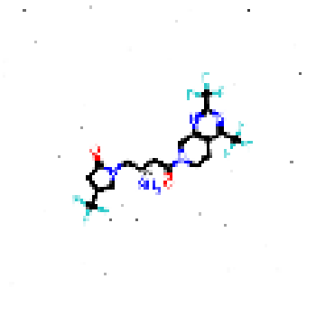 N[C@@H](CC(=O)N1CCc2c(nc(C(F)(F)F)nc2C(F)(F)F)C1)CN1CC(C(F)(F)F)CC1=O